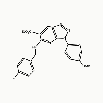 CCOC(=O)c1cc2nnn(-c3ccc(OC)cc3)c2nc1NCc1ccc(F)cc1